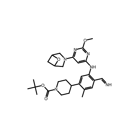 COc1nc(Nc2cc(C3CCN(C(=O)OC(C)(C)C)CC3)c(C)cc2C=N)cc(N2CC3CC(C2)O3)n1